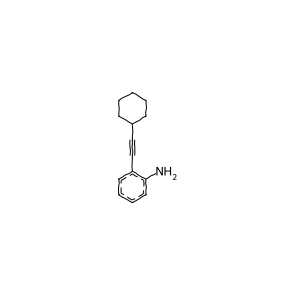 Nc1ccccc1C#CC1CCCCC1